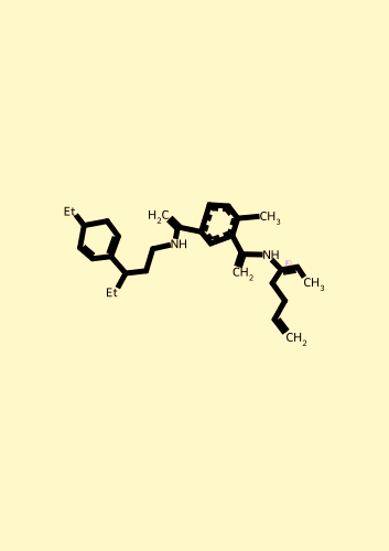 C=CCC/C(=C\C)NC(=C)c1cc(C(=C)NCCC(CC)C2=CCC(CC)C=C2)ccc1C